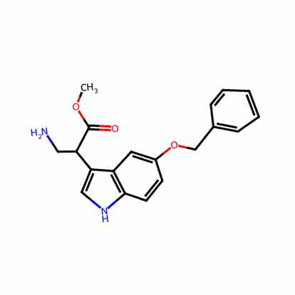 COC(=O)C(CN)c1c[nH]c2ccc(OCc3ccccc3)cc12